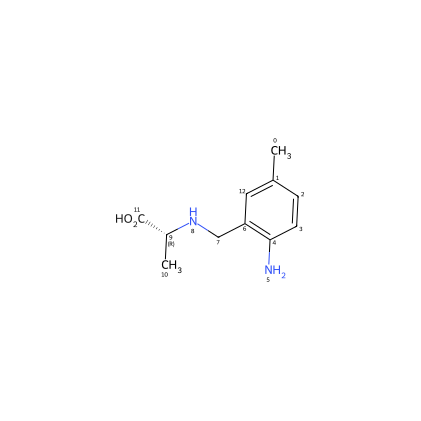 Cc1ccc(N)c(CN[C@H](C)C(=O)O)c1